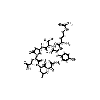 CC(C)C[C@@H](NC(=N)[C@@H](CCC(=O)O)N1C[C@H](NC(=O)[C@H](NC(=O)[C@@H](Cc2ccc(O)cc2)NC(=O)[C@H](N)CCCNC(=N)N)[C@@H](C)O)CC1=O)C(=O)N[C@H](C)C(N)=O